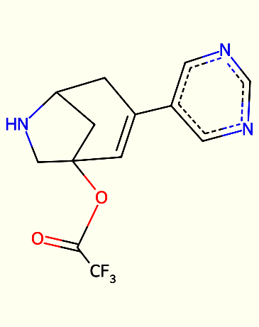 O=C(OC12C=C(c3cncnc3)CC(C1)NC2)C(F)(F)F